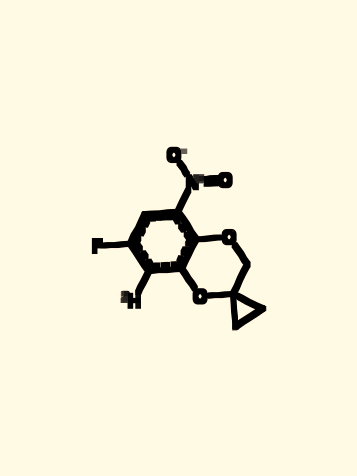 [2H]c1c(F)cc([N+](=O)[O-])c2c1OC1(CC1)CO2